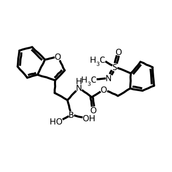 CN=S(C)(=O)c1ccccc1COC(=O)NC(Cc1coc2ccccc12)B(O)O